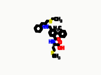 CCSCC(CC1CCCCC1)NCc1ccc(C(=O)N[C@@H](CCSC)C(=O)O)c(-c2ccccc2C)c1